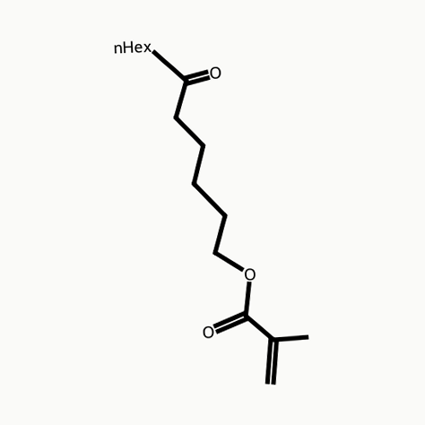 C=C(C)C(=O)OCCCCCC(=O)CCCCCC